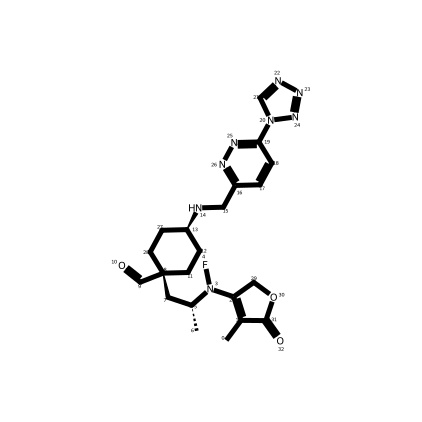 CC1=C(N(F)[C@H](C)C[C@]2(C=O)CC[C@H](NCc3ccc(-n4cnnn4)nn3)CC2)COC1=O